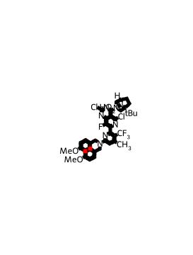 COc1ccc(CN(Cc2ccc(OC)cc2)c2cc(C)c(C(F)(F)F)c(-c3nc(Cl)c4c(N5C[C@@H]6CC[C@@](C(C)(C)C)(C5)N6C(=O)O)nc(Cl)nc4c3F)n2)cc1